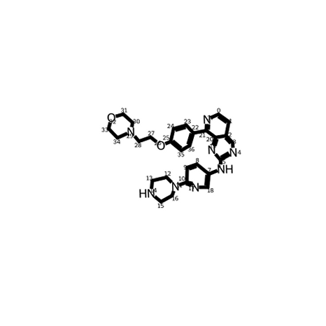 c1cc2cnc(Nc3ccc(N4CCNCC4)nc3)nc2c(-c2ccc(OCCN3CCOCC3)cc2)n1